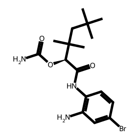 CC(C)(C)CC(C)(C)[C@H](OC(N)=O)C(=O)Nc1ccc(Br)cc1N